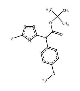 COc1ccc(N(C(=O)OC(C)(C)C)c2nc(Br)ns2)cc1